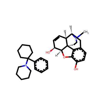 CN1CC[C@]23c4c5ccc(O)c4O[C@H]2[C@@H](O)C=C[C@H]3[C@H]1C5.c1ccc(C2(N3CCCCC3)CCCCC2)cc1